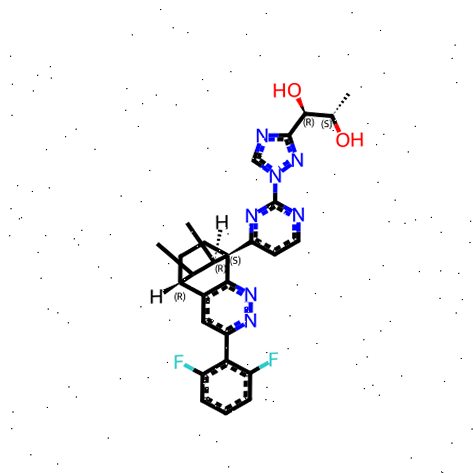 CC1[C@@H](C)[C@]2(c3ccnc(-n4cnc([C@@H](O)[C@H](C)O)n4)n3)CC[C@H]1c1cc(-c3c(F)cccc3F)nnc12